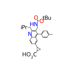 Cc1ccc(-c2c(CNC(=O)OC(C)(C)C)c(CC(C)C)nc3ccc(C4CC4C(=O)O)cc23)cc1